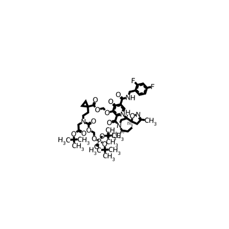 CC1=NO[C@@]2(CC[C@H](C)N3C[C@H]2n2cc(C(=O)NCc4ccc(F)cc4F)c(=O)c(OCOC(=O)C4(CCN(CC(=O)OC(C)(C)C)C(=O)OCOP(=O)(OC(C)(C)C)OC(C)(C)C)CC4)c2C3=O)C1